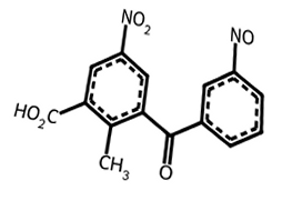 Cc1c(C(=O)O)cc([N+](=O)[O-])cc1C(=O)c1cccc(N=O)c1